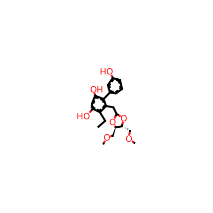 CCc1c(O)cc(O)c(-c2cccc(O)c2)c1CC1O[C@H](COC)[C@@H](COC)O1